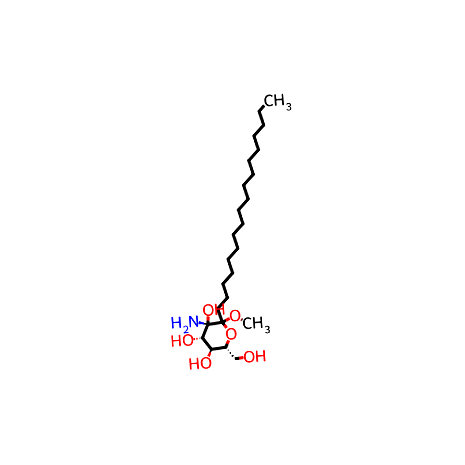 CCCCCCCCCCCCCCCCCCC1(OC)O[C@H](CO)[C@@H](O)[C@H](O)[C@]1(N)O